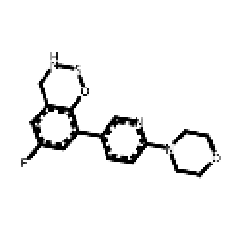 Fc1cc2c(c(-c3ccc(N4CCOCC4)nc3)c1)OSNC2